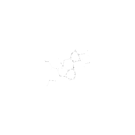 CCC[C@H]1c2cccc3c2[C@@H](Cc2ccc(OC)c(OC)c2-3)N1CCC